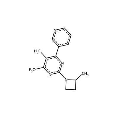 Cc1c(-c2cccnc2)nc(N2CCC2C)nc1C(F)(F)F